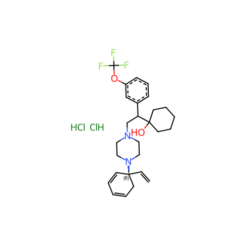 C=C[C@@]1(N2CCN(CC(c3cccc(OC(F)(F)F)c3)C3(O)CCCCC3)CC2)C=CC=CC1.Cl.Cl